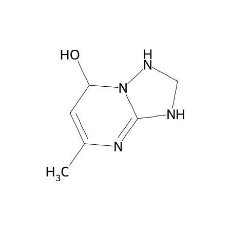 CC1=CC(O)N2NCNC2=N1